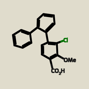 COc1c(C(=O)O)ccc(-c2ccccc2-c2ccccc2)c1Cl